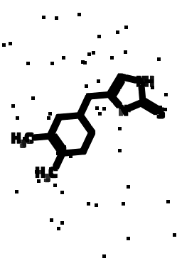 CC1=C(C)CC(CC2=CNC(=S)[N]2)CC1